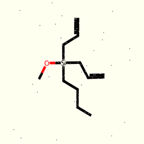 C=CC[Si](CC=C)(CCCC)OC